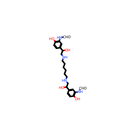 O=CNc1cc(C(O)CNCCCCCCNCC(O)c2ccc(O)c(NC=O)c2)ccc1O